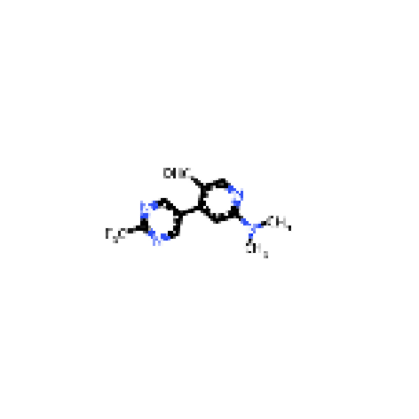 CN(C)c1cc(-c2cnc(C(F)(F)F)nc2)c(C=O)cn1